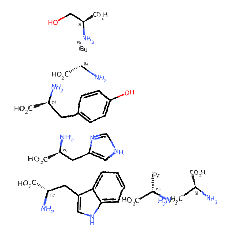 CC(C)[C@H](N)C(=O)O.CC[C@H](C)[C@H](N)C(=O)O.C[C@H](N)C(=O)O.N[C@@H](CO)C(=O)O.N[C@@H](Cc1c[nH]c2ccccc12)C(=O)O.N[C@@H](Cc1c[nH]cn1)C(=O)O.N[C@@H](Cc1ccc(O)cc1)C(=O)O